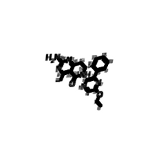 CCOc1cncc(-c2ccccc2[C@H]2Cc3nc(N)nc(C)c3C(=O)N2)n1